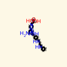 Nc1cc(N2CCN(CCP(=O)(O)O)CC2)nc(NC[C@H]2CC[C@@H](CNCCCNC3CCCCC3)CC2)n1